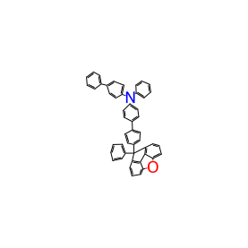 c1ccc(-c2ccc(N(c3ccccc3)c3ccc(-c4ccc(C5(c6ccccc6)c6cccc7oc8cccc5c8c67)cc4)cc3)cc2)cc1